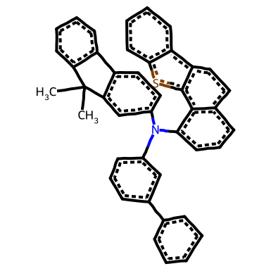 CC1(C)c2ccccc2-c2ccc(N(c3cccc(-c4ccccc4)c3)c3cccc4ccc5c6ccccc6sc5c34)cc21